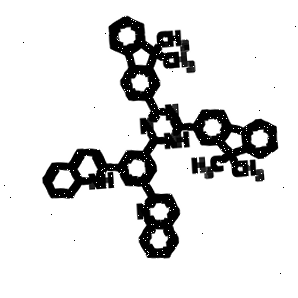 CC1(C)c2ccccc2-c2ccc(C3=NC(c4cc(C5=CC=C6C=CC=CC6N5)cc(-c5ccc6ccccc6n5)c4)NC(c4ccc5c(c4)C(C)(C)c4ccccc4-5)=N3)cc21